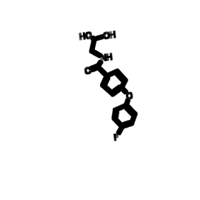 O=C(NCC(O)O)c1ccc(Oc2ccc(F)cc2)cc1